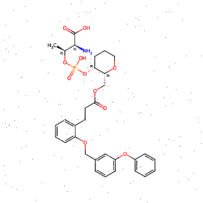 C[C@H](OP(=O)(O)O[C@@H]1CCCO[C@@H]1COC(=O)CCc1ccccc1OCc1cccc(Oc2ccccc2)c1)[C@H](N)C(=O)O